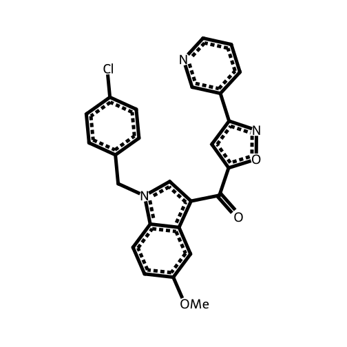 COc1ccc2c(c1)c(C(=O)c1cc(-c3cccnc3)no1)cn2Cc1ccc(Cl)cc1